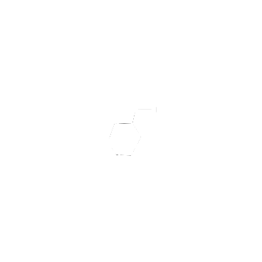 IOC1CCCOC1